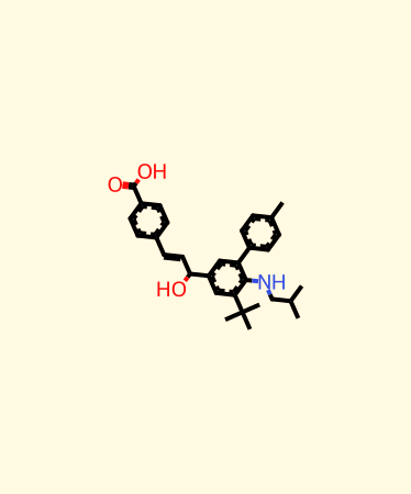 Cc1ccc(-c2cc(C(O)C=Cc3ccc(C(=O)O)cc3)cc(C(C)(C)C)c2NCC(C)C)cc1